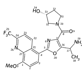 COc1ccc(-c2nc(C(=O)N3CC[C@@H](O)C3)c(C(C)N)o2)c2ccc(C(F)(F)F)nc12